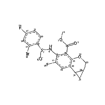 COC(=O)c1c(N[S+]([O-])c2ccc(F)cc2Br)c(F)cc2c1OCC1CC21